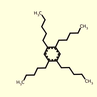 CCCCCc1cc(CCCCC)c(CCCCC)cc1CCCCC